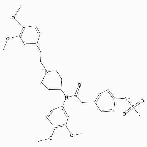 COc1ccc(CCN2CCC(N(C(=O)Cc3ccc(NS(C)(=O)=O)cc3)c3ccc(OC)c(OC)c3)CC2)cc1OC